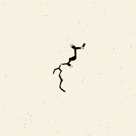 CCCCCC(CC)OC(=O)/C=C/C(=O)OC